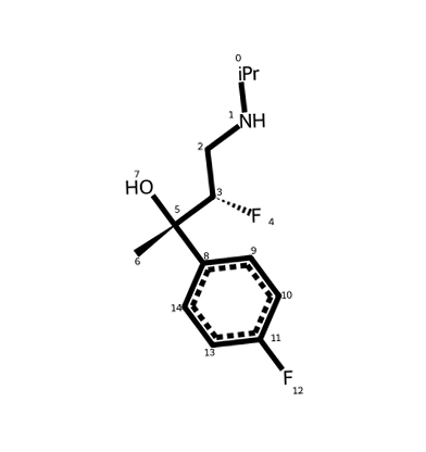 CC(C)NC[C@H](F)[C@@](C)(O)c1ccc(F)cc1